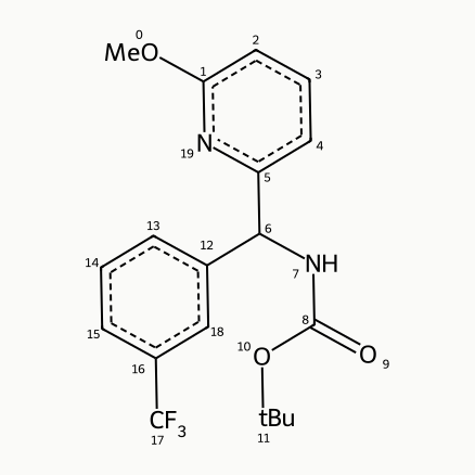 COc1cccc(C(NC(=O)OC(C)(C)C)c2cccc(C(F)(F)F)c2)n1